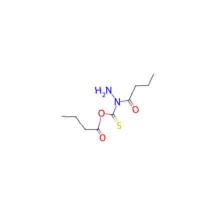 CCCC(=O)OC(=S)N(N)C(=O)CCC